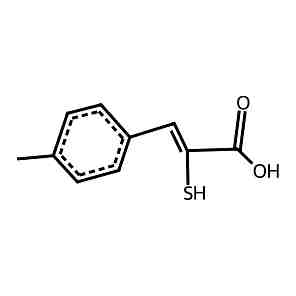 Cc1ccc(/C=C(\S)C(=O)O)cc1